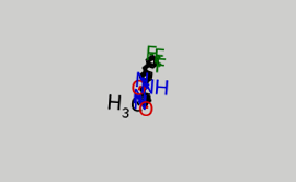 Cn1nc(C(=O)Nc2ccc(Cc3cc(F)c(F)c(F)c3)cn2)ccc1=O